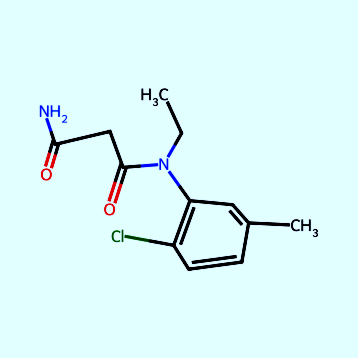 CCN(C(=O)CC(N)=O)c1cc(C)ccc1Cl